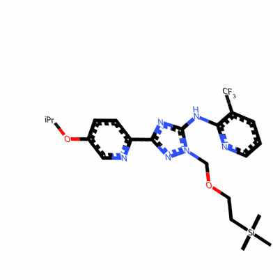 CC(C)Oc1ccc(-c2nc(Nc3ncccc3C(F)(F)F)n(COCC[Si](C)(C)C)n2)nc1